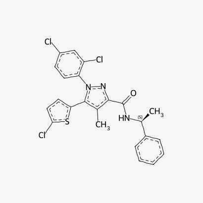 Cc1c(C(=O)N[C@@H](C)c2ccccc2)nn(-c2ccc(Cl)cc2Cl)c1-c1ccc(Cl)s1